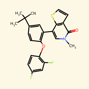 Cn1cc(-c2cc(C(C)(C)C#N)ccc2Oc2ccc(F)cc2F)c2sccc2c1=O